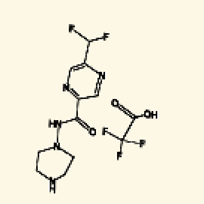 O=C(NN1CCNCC1)c1cnc(C(F)F)cn1.O=C(O)C(F)(F)F